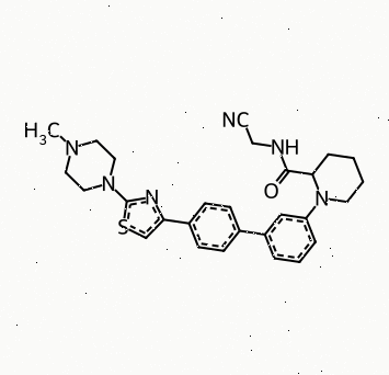 CN1CCN(c2nc(-c3ccc(-c4cccc(N5CCCCC5C(=O)NCC#N)c4)cc3)cs2)CC1